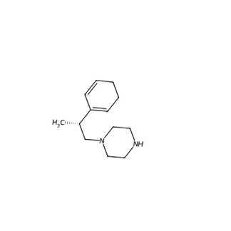 C[C@@H](CN1CCNCC1)C1=CCCC=C1